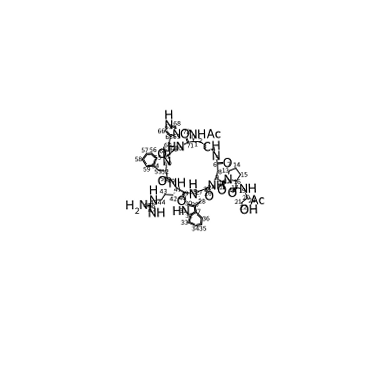 CC(=O)N[C@H]1CCCNC(=O)C[C@@H](C(=O)N2CCC[C@H]2C(=O)N[C@@H](CO)C(C)=O)NC(=O)[C@H](Cc2c[nH]c3ccccc23)NC(=O)[C@H](CCCNC(=N)N)NC(=O)[C@@H](Cc2ccccc2)NC(=O)[C@H](Cc2c[nH]cn2)NC1=O